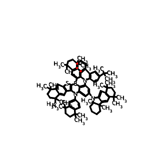 CC(C)(C)c1ccc(N2c3cc4c(cc3B3c5sc6cc7c(cc6c5N(c5ccc6c(c5)C(C)(C)CCC6(C)C)c5cc(N6c8cc9c(cc8C8(C)CCCCC68C)C(C)(C)CCC9(C)C)cc2c53)C(C)(C)CCC7(C)C)C(C)(C)CCC4(C)C)c(-c2ccccc2)c1